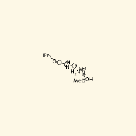 COC(O)C1CN(C(=O)[C@@H](N)Cc2ccc(-c3ncc(-c4ccc(OCCCC(C)C)cc4)cn3)cc2)C1